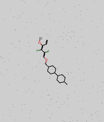 C=C/C(OCC)=C(F)\C(F)=C\OCC1CCC(C2CCC(C)CC2)CC1